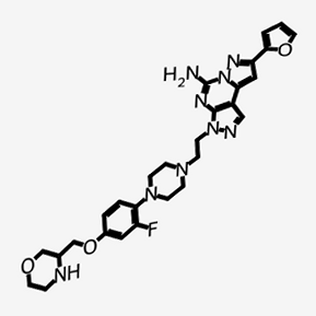 Nc1nc2c(cnn2CCN2CCN(c3ccc(OCC4COCCN4)cc3F)CC2)c2cc(-c3ccco3)nn12